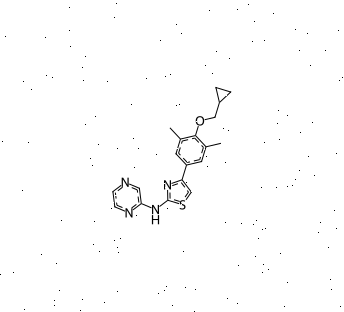 Cc1cc(-c2csc(Nc3cnccn3)n2)cc(C)c1OCC1CC1